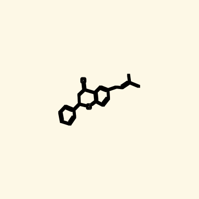 CC(C)=CCc1ccc2c(c1)C(=O)CC(c1ccccc1)O2